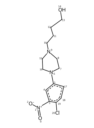 O=[N+]([O-])c1cc(N2CCN(CCCCO)CC2)ccc1Cl